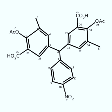 CC(=O)Oc1c(C)cc(C(c2ccc([N+](=O)[O-])cc2)c2cc(C)c(OC(C)=O)c(C(=O)O)c2)cc1C(=O)O